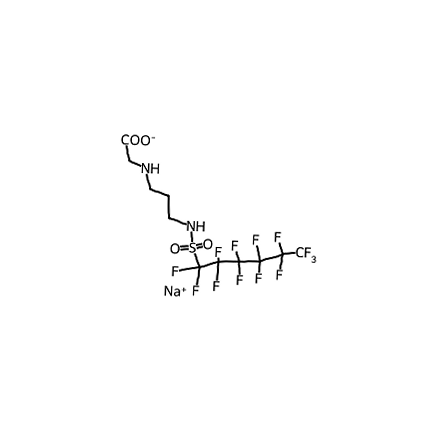 O=C([O-])CNCCCNS(=O)(=O)C(F)(F)C(F)(F)C(F)(F)C(F)(F)C(F)(F)C(F)(F)F.[Na+]